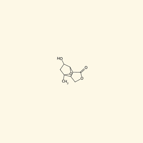 CC12CC(O)C(O1)C1C(=O)OCC12